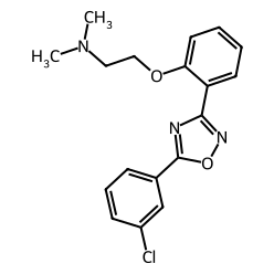 CN(C)CCOc1ccccc1-c1noc(-c2cccc(Cl)c2)n1